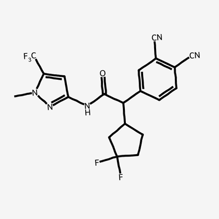 Cn1nc(NC(=O)C(c2ccc(C#N)c(C#N)c2)C2CCC(F)(F)C2)cc1C(F)(F)F